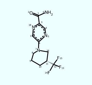 NC(=O)c1cnc(N2CCC[C@@H](C(F)(F)F)C2)cn1